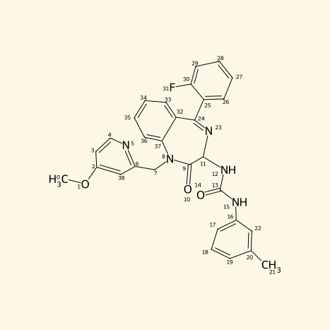 COc1ccnc(CN2C(=O)C(NC(=O)Nc3cccc(C)c3)N=C(c3ccccc3F)c3ccccc32)c1